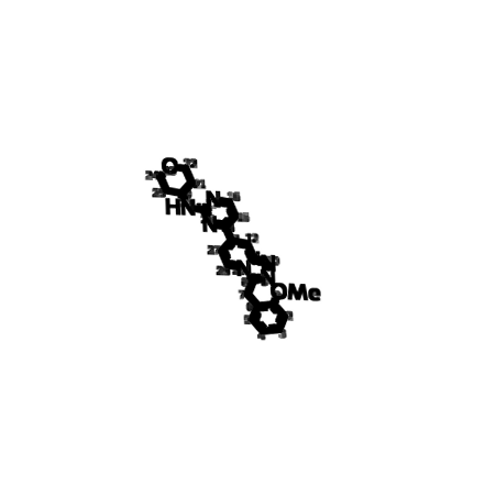 COc1ccccc1Cc1nnc2cc(-c3ccnc(NC4CCOCC4)n3)ccn12